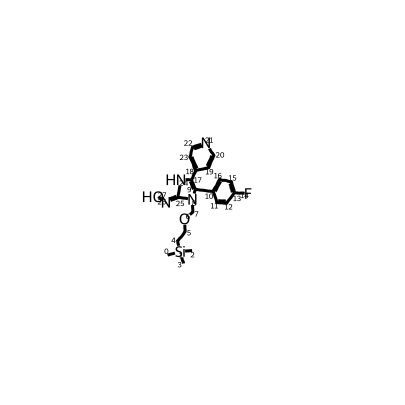 C[Si](C)(C)CCOCn1c(-c2ccc(F)cc2)c(-c2ccncc2)[nH]/c1=N\O